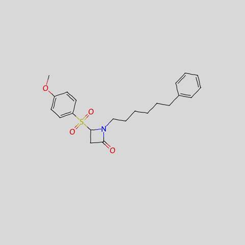 COc1ccc(S(=O)(=O)C2CC(=O)N2CCCCCCc2ccccc2)cc1